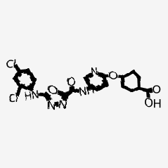 O=C(Nc1ccc(OC2CCC(C(=O)O)CC2)nc1)c1nnc(Nc2ccc(Cl)cc2Cl)o1